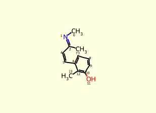 C/N=C(C)/C=C\c1cccc(O)c1C